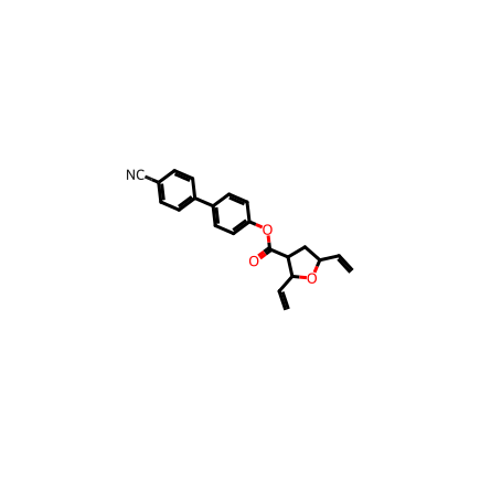 C=CC1CC(C(=O)Oc2ccc(-c3ccc(C#N)cc3)cc2)C(C=C)O1